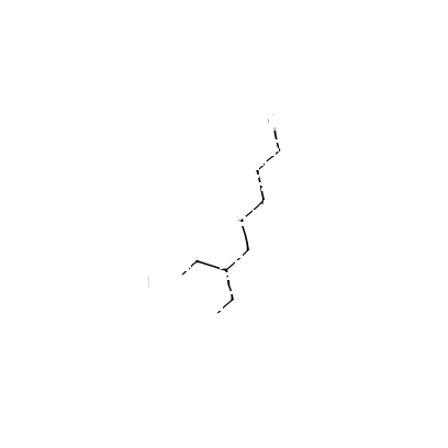 CCC[CH]CCC(CC)CC